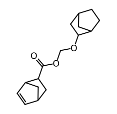 O=C(OCOC1CC2CCC1C2)C1CC2C=CC1C2